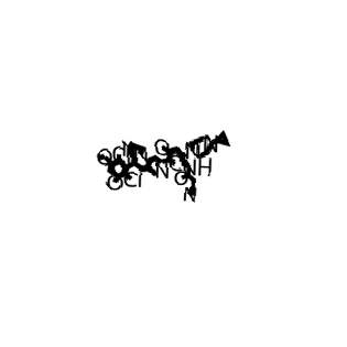 COc1cc(N2CCN(C3CC3)CC2)c(NC(=O)CC#N)cc1-c1cc2c(cn1)cc(-c1c(Cl)c(OC)cc(OC)c1Cl)c1nccn12